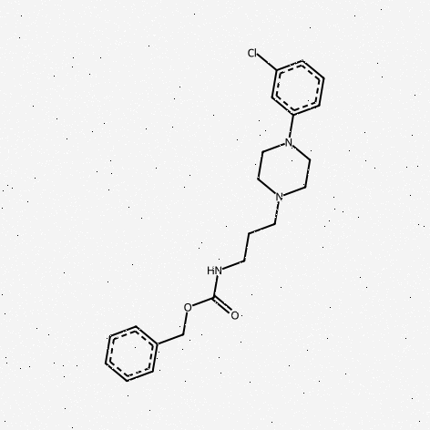 O=C(NCCCN1CCN(c2cccc(Cl)c2)CC1)OCc1ccccc1